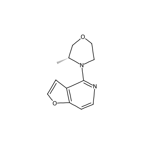 C[C@@H]1COCCN1c1nccc2occc12